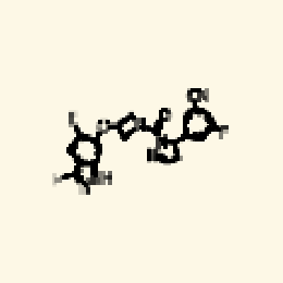 N#Cc1cc(F)cc(C2CC=NN2C(=O)N2CC(Oc3cc4[nH]nc(F)c4cc3F)C2)c1